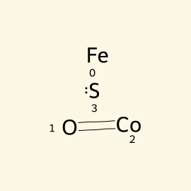 [Fe].[O]=[Co].[S]